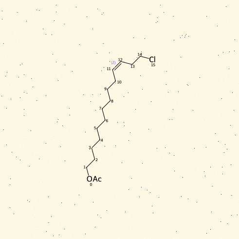 CC(=O)OCCCCCCCCCC/C=C\CCCl